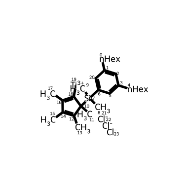 CCCCCCc1cc(CCCCCC)cc([Si](C)(C)C2(C)C(C)=C(C)C(C)=[C]2[Ti+3])c1.[Cl-].[Cl-].[Cl-]